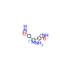 Nc1nc(F)c(-c2ccc(C3CNCCO3)cc2)cc1-c1ccc2c(c1)CCNC2=O